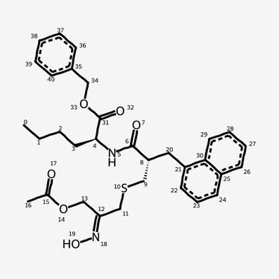 CCCC[C@H](NC(=O)[C@@H](CSC/C(COC(C)=O)=N/O)Cc1cccc2ccccc12)C(=O)OCc1ccccc1